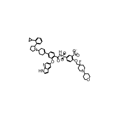 O=C(NS(=O)(=O)c1ccc(OCC2(F)CCN(C3CCOCC3)CC2)c([N+](=O)[O-])c1)c1ccc(C2=CCC(N3CCCC3c3ccccc3C3CC3)CC2)cc1Oc1cnc2[nH]ccc2c1